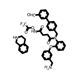 NCc1cccc(Oc2ccccc2N(Cc2ccc(-c3cccc(C=O)c3)cc2)C(=O)CCC(=O)NOC(=O)C(F)(F)F)c1.c1ccc2c(c1)CCNC2